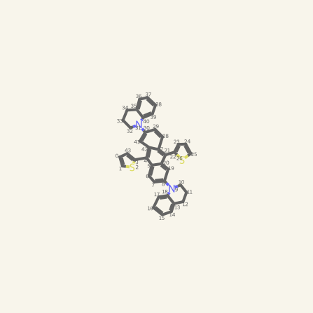 c1csc(-c2c3ccc(N4CCCc5ccccc54)cc3c(-c3cccs3)c3ccc(N4CCCc5ccccc54)cc23)c1